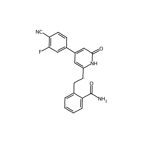 N#Cc1ccc(-c2cc([CH]Cc3ccccc3C(N)=O)[nH]c(=O)c2)cc1F